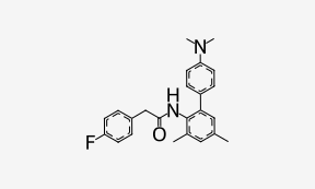 Cc1cc(C)c(NC(=O)Cc2ccc(F)cc2)c(-c2ccc(N(C)C)cc2)c1